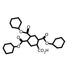 O=C(O)C1CC(C(=O)OC2CCCCC2)C(C(=O)OC2CCCCC2)CC1C(=O)OC1CCCCC1